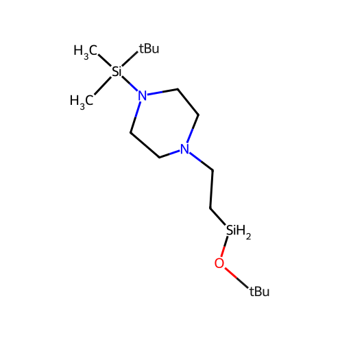 CC(C)(C)O[SiH2]CCN1CCN([Si](C)(C)C(C)(C)C)CC1